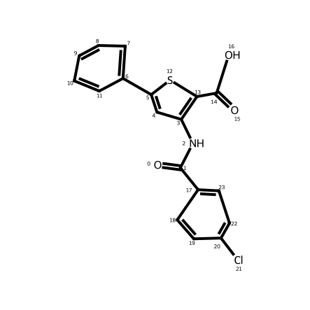 O=C(Nc1cc(-c2ccccc2)sc1C(=O)O)c1ccc(Cl)cc1